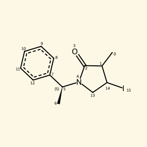 CC1C(=O)N([C@@H](C)c2ccccc2)CC1I